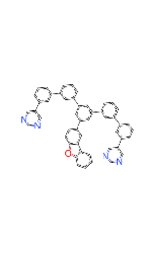 c1cc(-c2cncnc2)cc(-c2cccc(-c3cc(-c4cccc(-c5cccc(-c6cncnc6)c5)c4)cc(-c4ccc5oc6ccccc6c5c4)c3)c2)c1